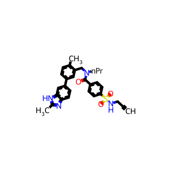 C#CCNS(=O)(=O)c1ccc(C(=O)N(CCC)Cc2cc(-c3ccc4nc(C)[nH]c4c3)ccc2C)cc1